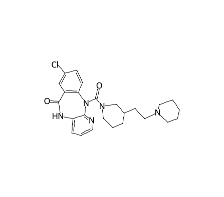 O=C1Nc2cccnc2N(C(=O)N2CCCC(CCN3CCCCC3)C2)c2ccc(Cl)cc21